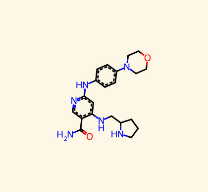 NC(=O)c1cnc(Nc2ccc(N3CCOCC3)cc2)cc1NCC1CCCN1